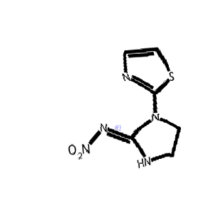 O=[N+]([O-])/N=C1\NCCN1c1nccs1